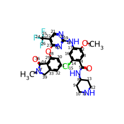 COc1cc(C(=O)NC2CCNCC2)c(Cl)cc1Nc1ncc(C(F)(F)F)c(Oc2cccc3c2C(=O)N(C)C3)n1